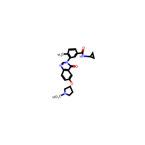 Cc1ccc(C(=O)NC2CC2)cc1-n1cnc2ccc(O[C@@H]3CCN(C(=O)O)C3)cc2c1=O